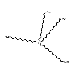 CCCCCCCCCCCCCCCCCCCC[O][Ti]([O]CCCCCCCCCCCCCCCCCCCC)([O]CCCCCCCCCCCCCCCCCCCC)[O]CCCCCCCCCCCCCCCCCCCC